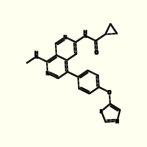 CNc1ncc(-c2ccc(Oc3cncs3)cc2)c2cc(NC(=O)C3CC3)ncc12